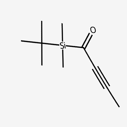 CC#CC(=O)[Si](C)(C)C(C)(C)C